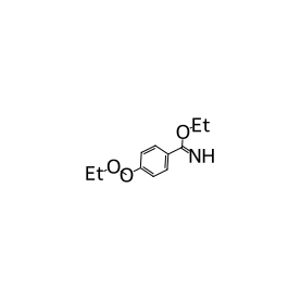 CCOOc1ccc(C(=N)OCC)cc1